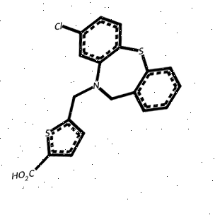 O=C(O)c1ccc(CN2Cc3ccccc3Sc3ccc(Cl)cc32)s1